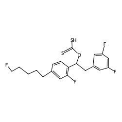 FCCCCCc1ccc(C(Cc2cc(F)cc(F)c2)OC(=S)S)c(F)c1